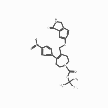 CC(C)(C)OC(=O)N1CCC(COc2ccc3c(c2)C(=O)NC3)=C(c2ccc([N+](=O)[O-])cc2)CC1